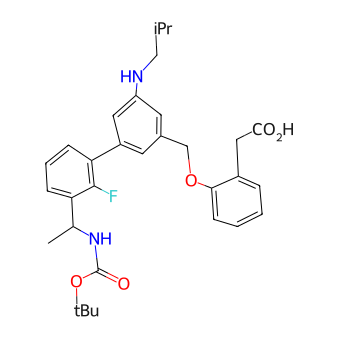 CC(C)CNc1cc(COc2ccccc2CC(=O)O)cc(-c2cccc(C(C)NC(=O)OC(C)(C)C)c2F)c1